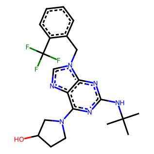 CC(C)(C)Nc1nc(N2CCC(O)C2)c2ncn(Cc3ccccc3C(F)(F)F)c2n1